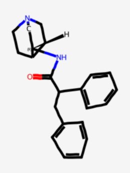 O=C(N[C@H]1CN2CCC1CC2)C(Cc1ccccc1)c1ccccc1